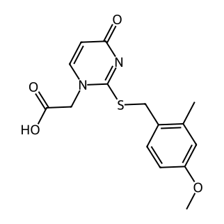 COc1ccc(CSc2nc(=O)ccn2CC(=O)O)c(C)c1